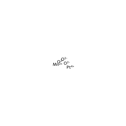 [Mn+2].[O-2].[O-2].[O-2].[Pt+4]